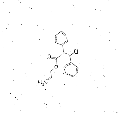 C=CCOC(=O)C(c1ccccc1)C(Cl)c1ccccc1